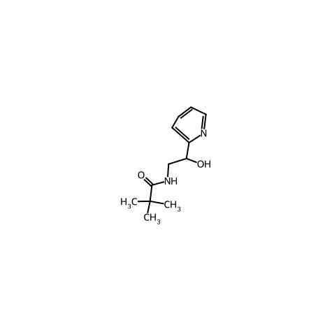 CC(C)(C)C(=O)NCC(O)c1ccccn1